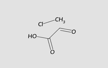 CCl.O=CC(=O)O